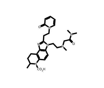 CC1CCc2c(ccc3c2nc(CCn2ccccc2=O)n3CCN(C)CC(=O)N(C)C)N1C(=O)O